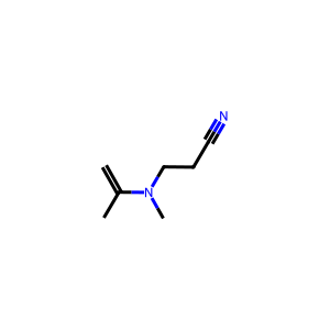 C=C(C)N(C)CCC#N